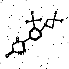 O=C1CNC(c2ccc(N3CC(F)(F)C3)c(C(F)(F)F)c2)=NN1